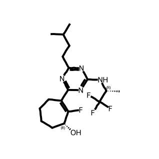 CC(C)CCc1nc(N[C@H](C)C(F)(F)F)nc(C2=C(F)[C@H](O)CCCC2)n1